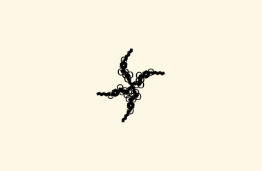 CCCCCCOc1ccc(C(=O)OOC(=O)OCCC(COC(=O)OOC(=O)c2ccc(OCCCCCC)cc2)C(CCOC(=O)OOC(=O)c2ccc(OCCCCCC)cc2)COC(=O)OOC(=O)c2ccc(OCCCCCC)cc2)cc1